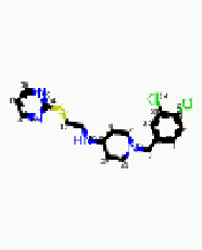 Clc1ccc(CN2CCC(NCCSc3ncccn3)CC2)cc1Cl